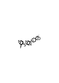 C[C@H]1CC2(CCN(c3cnc(Sc4ccncc4F)cn3)CC2)CO1